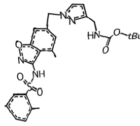 Cc1ccccc1S(=O)(=O)Nc1noc2cc(Cn3ccc(CNC(=O)OC(C)(C)C)n3)cc(C)c12